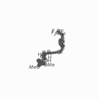 COc1ccc(C(OC[C@H]2O[C@@H](n3cc(CCC(=O)NCCCCCCSSC(C)(C)CCOc4ccc5c(c4)CCC4C5CC[C@]5(C)[C@@H](OCCN(C)CCOC(C(F)(F)F)(C(F)(F)F)C(F)(F)F)CC[C@@H]45)c(=O)[nH]c3=O)C[C@@H]2O)(c2ccccc2)c2ccc(OC)cc2)cc1